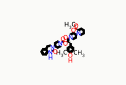 COC(=O)[C@@H]1CCCCN1C1CCN(C(=O)[C@@H](Cc2cc(C)c(O)c(C)c2)OC(=O)N2CCC(N3CCc4ccccc4NC3=O)CC2)CC1